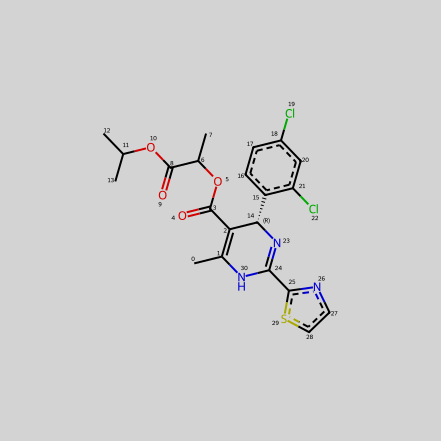 CC1=C(C(=O)OC(C)C(=O)OC(C)C)[C@H](c2ccc(Cl)cc2Cl)N=C(c2nccs2)N1